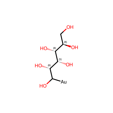 OC[C@@H](O)[C@@H](O)[C@H](O)[C@@H](O)[CH](O)[Au]